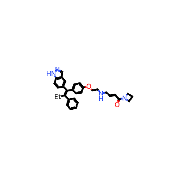 CC/C(=C(/c1ccc(OCCNC/C=C/C(=O)N2CCC2)cc1)c1ccc2[nH]ncc2c1)c1ccccc1